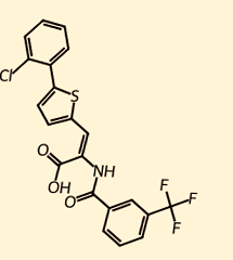 O=C(O)/C(=C\c1ccc(-c2ccccc2Cl)s1)NC(=O)c1cccc(C(F)(F)F)c1